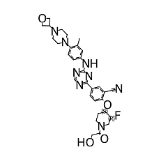 Cc1cc(Nc2ncnc(-c3ccc(O[C@H]4CCN(C(=O)CO)C[C@H]4F)c(C#N)c3)n2)ccc1N1CCN(C2COC2)CC1